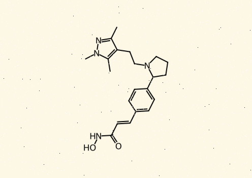 Cc1nn(C)c(C)c1CCN1CCCC1c1ccc(C=CC(=O)NO)cc1